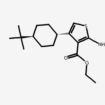 CCOC(=O)c1c(N)scc1[C@H]1CC[C@H](C(C)(C)C)CC1